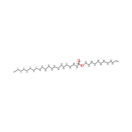 CCCCCCCCCCCCCCCCCCCCCC(=O)OCCCCCCCCCCC